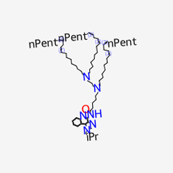 CCCCC/C=C\C/C=C\CCCCCCCCN(CCCCCCCC/C=C\C/C=C\CCCCC)CCCN(CCCCCCCC/C=C\C/C=C\CCCCC)CCCCCC(=O)Nc1nc2ccccc2c2c1ncn2CC(C)C